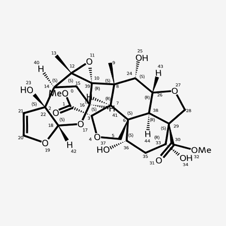 COC(=O)[C@H]1OC[C@]23[C@@H]1[C@](C)([C@]14O[C@@]1(C)[C@H]1C[C@@H]4O[C@@H]4OC=C[C@@]41O)[C@H](O)[C@@H]1OC[C@](C(=O)OC)([C@H](O)C[C@@H]2O)[C@H]13